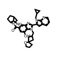 COc1cc(C(=O)N2CC3CCC2C3N)cc2nc(-c3cc4cccnc4n3CC3CC3)n(CC3CC4(CCCO4)C3)c12